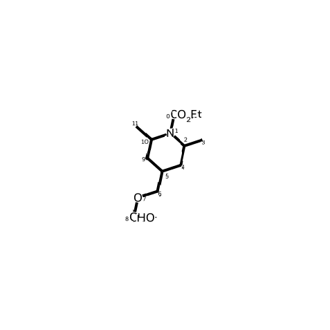 CCOC(=O)N1C(C)CC(CO[C]=O)CC1C